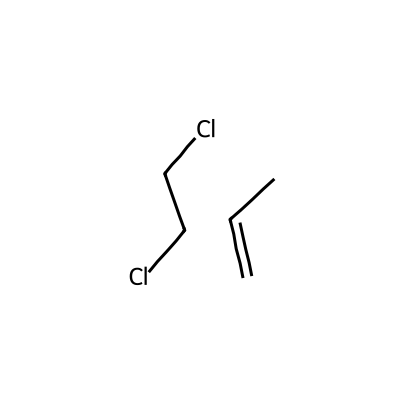 C=CC.ClCCCl